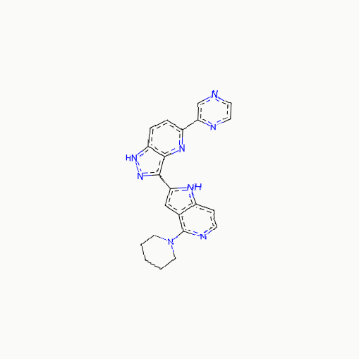 c1cnc(-c2ccc3[nH]nc(-c4cc5c(N6CCCCC6)nccc5[nH]4)c3n2)cn1